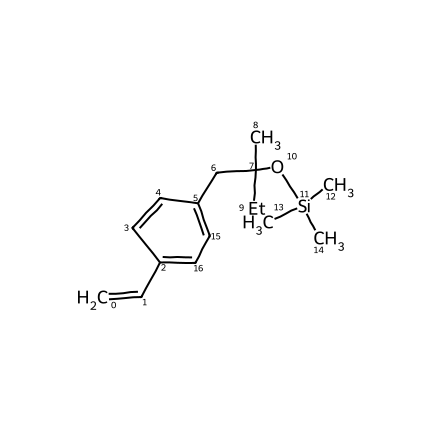 C=Cc1ccc(CC(C)(CC)O[Si](C)(C)C)cc1